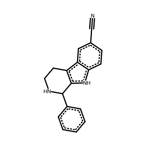 N#Cc1ccc2[nH]c3c(c2c1)CCNC3c1ccccc1